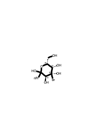 CCCC1(O)O[C@H](CO)[C@H](O)[C@@](O)(Br)[C@H]1O